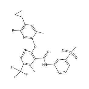 Cc1cc(C2CC2)c(F)nc1Oc1nnc(C(F)(F)F)c(C)c1C(=O)Nc1cccc(S(C)(=O)=O)c1